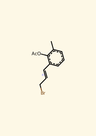 CC(=O)Oc1c(C)cccc1/C=C/CBr